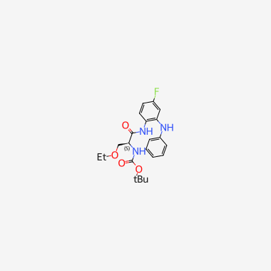 CCOC[C@H](NC(=O)OC(C)(C)C)C(=O)Nc1ccc(F)cc1Nc1ccccc1